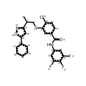 CC(CSc1cc(C(=O)Nc2cc(F)c(F)c(F)c2)ccc1Cl)c1cc(-c2ccccc2)on1